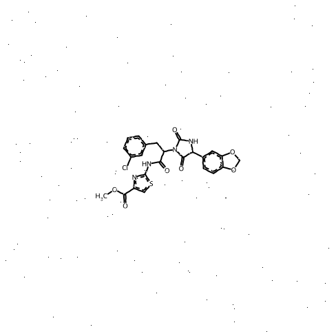 COC(=O)c1csc(NC(=O)C(Cc2cccc(Cl)c2)N2C(=O)NC(c3ccc4c(c3)OCO4)C2=O)n1